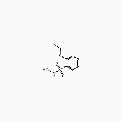 CCOc1ccccc1S(=O)(=O)NN